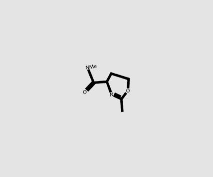 CNC(=O)C1CCOC(C)=N1